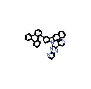 c1ccc2cc3c(cc2c1)c1cc(-c2cccc4c5ccccc5c5ccccc5c24)ccc1n3-c1nc2ncccc2nc1-c1ccncc1